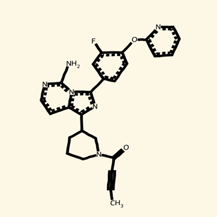 CC#CC(=O)N1CCCC(c2nc(-c3ccc(Oc4ccccn4)c(F)c3)n3c(N)nccc23)C1